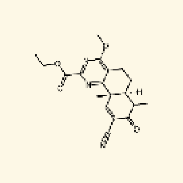 CCOC(=O)c1nc(OC)c2c(n1)[C@@]1(C)C=C(C#N)C(=O)C(C)[C@@H]1CC2